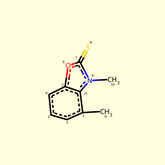 Cc1cccc2oc(=S)n(C)c12